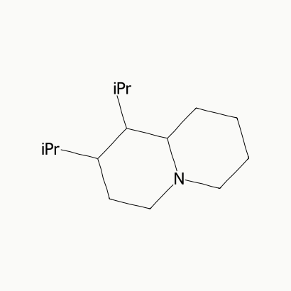 CC(C)C1CCN2CCCCC2C1C(C)C